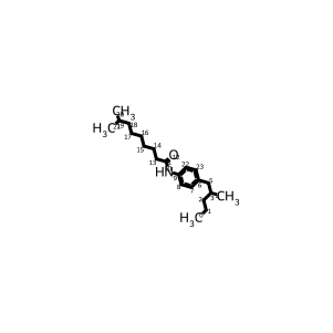 CCCC(C)Cc1ccc(NC(=O)CCCCCCC(C)C)cc1